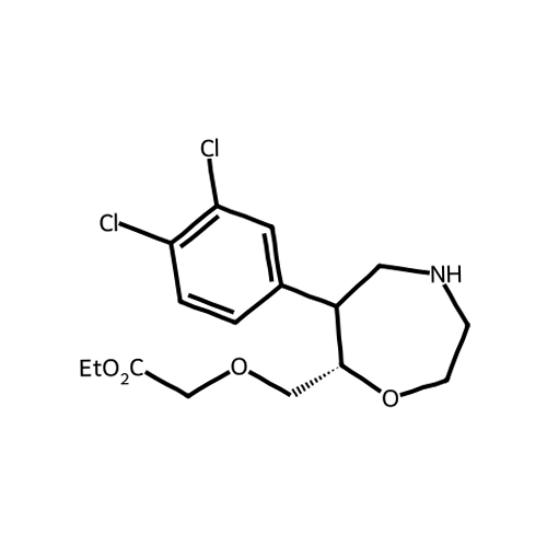 CCOC(=O)COC[C@H]1OCCNCC1c1ccc(Cl)c(Cl)c1